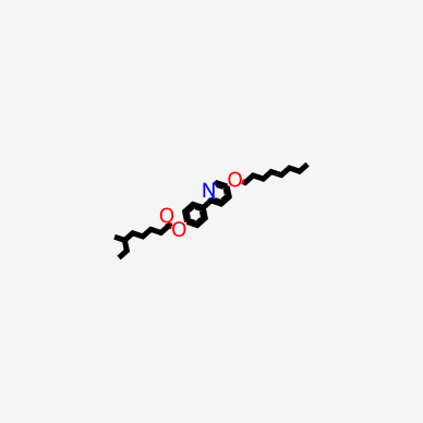 CCCCCCCCOc1ccc(-c2ccc(OC(=O)CCCCC(C)CC)cc2)nc1